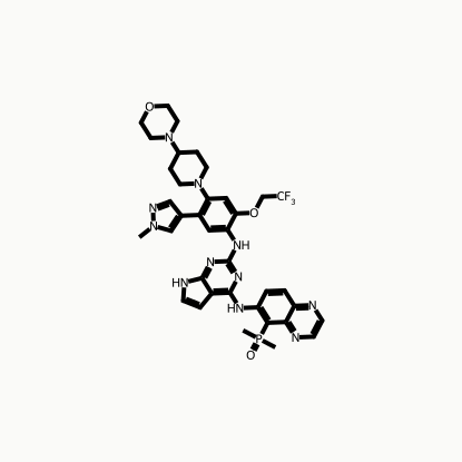 Cn1cc(-c2cc(Nc3nc(Nc4ccc5nccnc5c4P(C)(C)=O)c4cc[nH]c4n3)c(OCC(F)(F)F)cc2N2CCC(N3CCOCC3)CC2)cn1